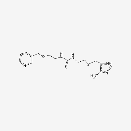 Cc1nc[nH]c1CSCCNC(=S)NCCSCc1cccnc1